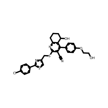 N#Cc1c(SCc2csc(-c3ccc(Cl)cc3)n2)nc2c(c1-c1ccc(OCCO)cc1)C(O)CCC2